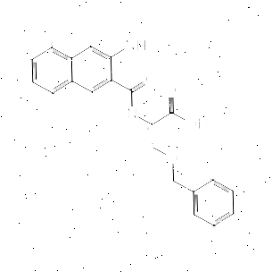 Nc1cc2ccccc2cc1C(=O)N[C@@H](COCc1ccccc1)C(=O)O